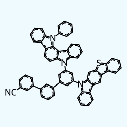 N#Cc1cccc(-c2cccc(-c3cc(-n4c5ccccc5c5cc6c(cc54)sc4ccccc46)cc(-n4c5ccccc5c5c4ccc4c6ccccc6n(-c6ccccc6)c45)c3)c2)c1